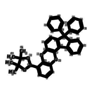 CC1(C)OB(c2cccc3c2Oc2ccc4c(c2O3)-c2ccccc2C4(c2ccccc2)c2ccccc2)OC1(C)C